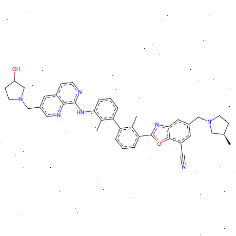 Cc1c(Nc2nccc3cc(CN4CCC(O)C4)cnc23)cccc1-c1cccc(-c2nc3cc(CN4CC[C@@H](C)C4)cc(C#N)c3o2)c1C